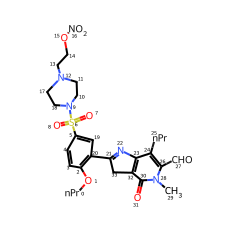 CCCOc1ccc(S(=O)(=O)N2CCN(CCO[N+](=O)[O-])CC2)cc1C1=Nc2c(CCC)c(C=O)n(C)c(=O)c2C1